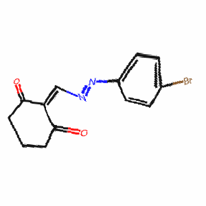 O=C1CCCC(=O)C1=CN=Nc1ccc(Br)cc1